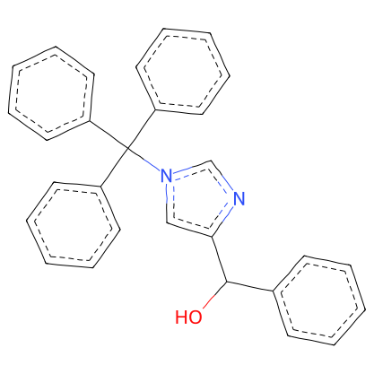 OC(c1ccccc1)c1cn(C(c2ccccc2)(c2ccccc2)c2ccccc2)cn1